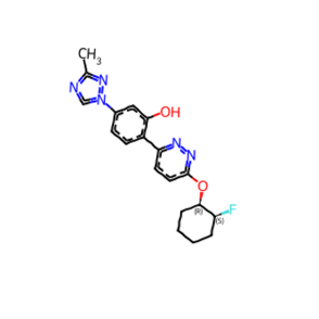 Cc1ncn(-c2ccc(-c3ccc(O[C@@H]4CCCC[C@@H]4F)nn3)c(O)c2)n1